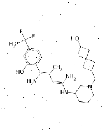 CC(/C=C(\N)NC1CCCN(CC2CC3(CC(O)C3)C2)C1)=C(/N)c1ccc(C(F)(F)P)cc1O